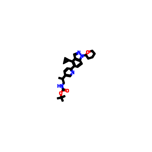 CC(CNC(=O)OC(C)(C)C)c1ccc(-c2ccc3c(cnn3C3CCCCO3)c2C2CC2)nc1